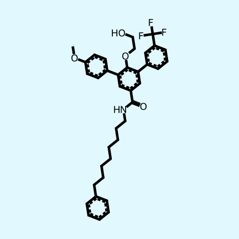 COc1ccc(-c2cc(C(=O)NCCCCCCCCc3ccccc3)cc(-c3cccc(C(F)(F)F)c3)c2OCCO)cc1